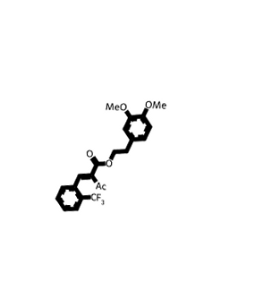 COc1ccc(CCOC(=O)/C(=C/c2ccccc2C(F)(F)F)C(C)=O)cc1OC